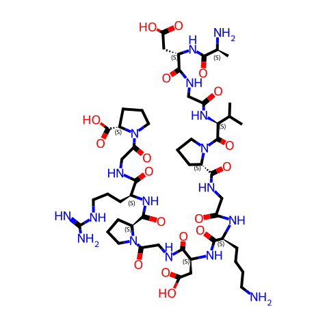 CC(C)[C@H](NC(=O)CNC(=O)[C@H](CC(=O)O)NC(=O)[C@H](C)N)C(=O)N1CCC[C@H]1C(=O)NCC(=O)N[C@@H](CCCCN)C(=O)N[C@@H](CC(=O)O)C(=O)NCC(=O)N1CCC[C@H]1C(=O)N[C@@H](CCCNC(=N)N)C(=O)NCC(=O)N1CCC[C@H]1C(=O)O